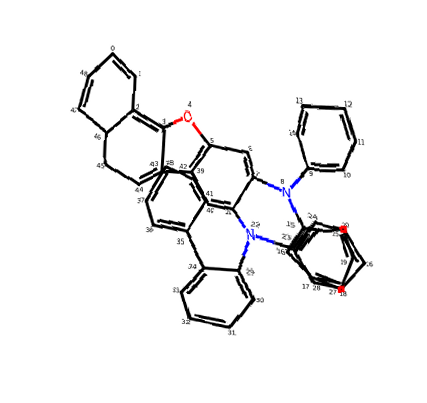 C1=CC2=c3oc4cc(N(c5ccccc5)c5ccccc5)c(N(c5ccccc5)c5ccccc5-c5ccccc5)cc4c3=CCC2C=C1